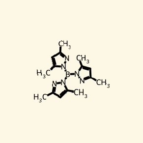 Cc1cc(C)n(B(n2nc(C)cc2C)n2nc(C)cc2C)n1